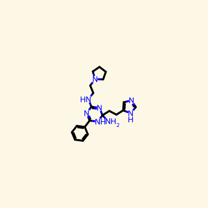 NC1(CCc2cnc[nH]2)N=C(NCCN2CCCC2)N=C(c2ccccc2)N1